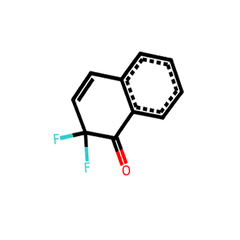 O=C1c2ccccc2C=CC1(F)F